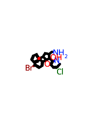 NCC1CC(c2ccccc2)C2(c3ccc(Br)cc3)Oc3cc(Cl)cnc3[C@]12O